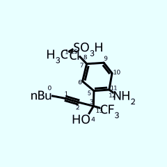 CCCCC#CC(O)(c1cc(Cl)ccc1N)C(F)(F)F.CS(=O)(=O)O